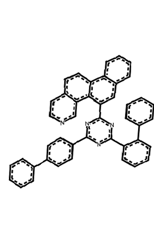 c1ccc(-c2ccc(-c3nc(-c4ccccc4-c4ccccc4)nc(-c4cc5ccccc5c5ccc6ccncc6c45)n3)cc2)cc1